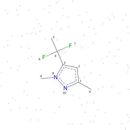 Cc1cc(C(C)(F)F)n(C)n1